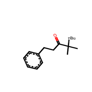 CCCCC(C)(C)C(=O)CCc1ccccc1